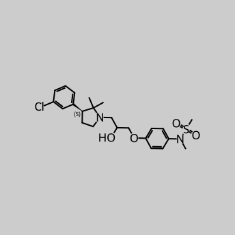 CN(c1ccc(OCC(O)CN2CC[C@@H](c3cccc(Cl)c3)C2(C)C)cc1)S(C)(=O)=O